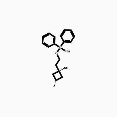 CC(C)(C)[Si](OCC[C@]1(N)C[C@@H](C)C1)(c1ccccc1)c1ccccc1